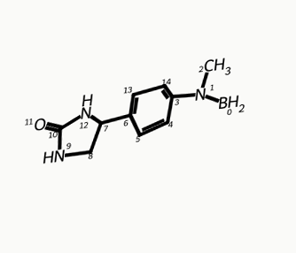 BN(C)c1ccc(C2CNC(=O)N2)cc1